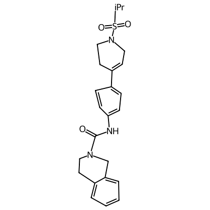 CC(C)S(=O)(=O)N1CC=C(c2ccc(NC(=O)N3CCc4ccccc4C3)cc2)CC1